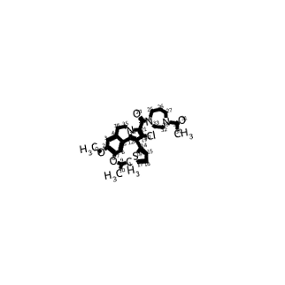 COc1cc2c(cc1OC(C)C)-c1c(-c3cccs3)c(Cl)c(C(=O)N3CCCN(C(C)=O)CC3)n1CC2